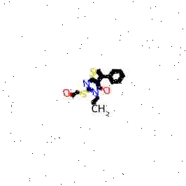 C=CCn1c(SC[C]=O)nc2scc(-c3ccccc3)c2c1=O